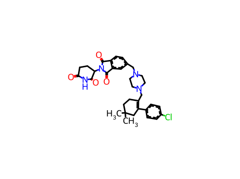 CC1(C)CCC(CN2CCN(Cc3ccc4c(c3)C(=O)N(C3CCC(=O)NC3=O)C4=O)CC2)=C(c2ccc(Cl)cc2)C1